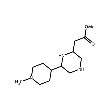 COC(=O)CC1CNCC(C2CCN(C)CC2)N1